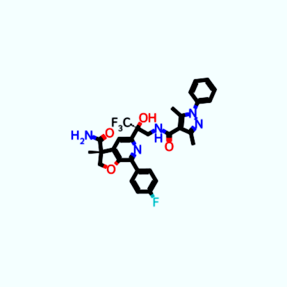 Cc1nn(-c2ccccc2)c(C)c1C(=O)NC[C@](O)(c1cc2c(c(-c3ccc(F)cc3)n1)OC[C@]2(C)C(N)=O)C(F)(F)F